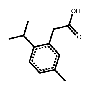 Cc1ccc(C(C)C)c(CC(=O)O)c1